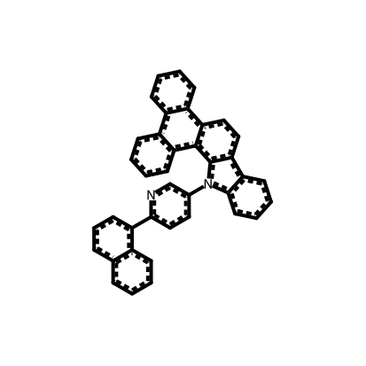 c1ccc2c(-c3ccc(-n4c5ccccc5c5ccc6c7ccccc7c7ccccc7c6c54)cn3)cccc2c1